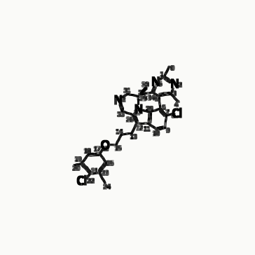 Cc1nc(C)c(-c2c(Cl)ccc3c(CCCOc4cc(C)c(Cl)c(C)c4)c4n(c23)[C@H](C)CN=C4)c(C)n1